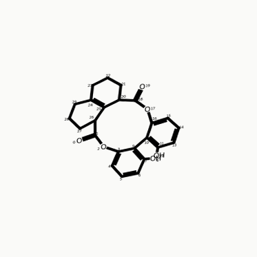 O=C1Oc2cccc(O)c2-c2c(O)cccc2OC(=O)C2CCCC3=C2C1CCC3